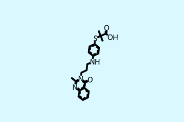 Cc1nc2ccccc2c(=O)n1CCCNc1ccc(SC(C)(C)C(=O)O)cc1